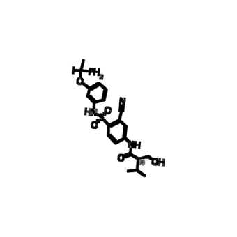 CC(C)[C@H](CO)C(=O)Nc1ccc(S(=O)(=O)Nc2cccc(OC(C)(P)I)c2)c(C#N)c1